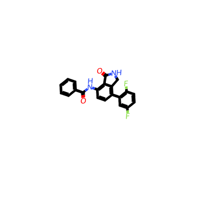 O=C(Nc1ccc(-c2cc(F)ccc2F)c2c1C(=O)NC2)c1ccccc1